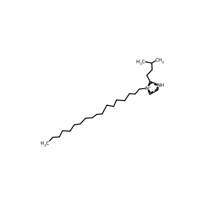 CCCCCCCCCCCCCCCCCC[n+]1cc[nH]c1CCC(C)C